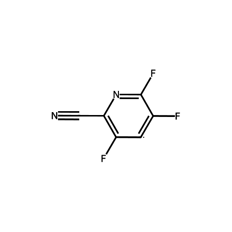 N#Cc1nc(F)c(F)[c]c1F